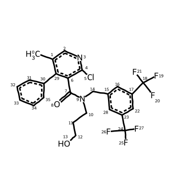 Cc1cnc(Cl)c(C(=O)N(CCCO)Cc2cc(C(F)(F)F)cc(C(F)(F)F)c2)c1-c1ccccc1